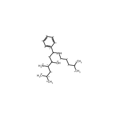 CC(C)CCCNC(CC(O)C(N)CC(C)C)c1ccccc1